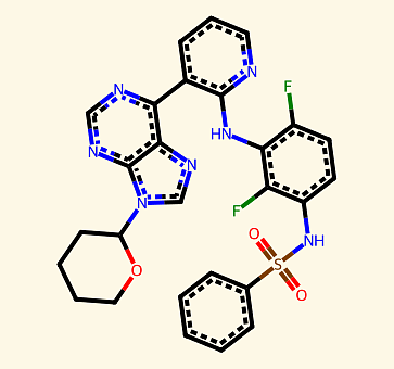 O=S(=O)(Nc1ccc(F)c(Nc2ncccc2-c2ncnc3c2ncn3C2CCCCO2)c1F)c1ccccc1